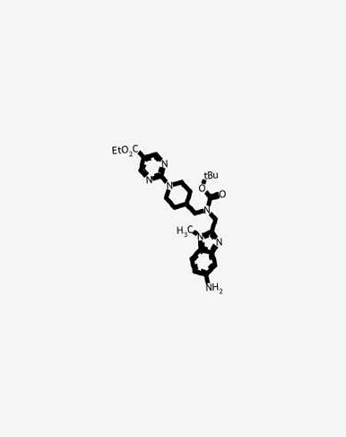 CCOC(=O)c1cnc(N2CCC(CN(Cc3nc4cc(N)ccc4n3C)C(=O)OC(C)(C)C)CC2)nc1